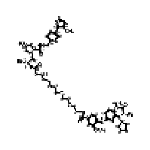 CC[C@@H]1C(=O)N(C)c2cnc(Nc3ccc(C(=O)NCCOCCOCCOCCNCC(=O)N[C@H](C(=O)N4C[C@H](O)C[C@H]4C(=O)NCc4ccc(-c5scnc5C)cc4)C(C)(C)C)cc3OC)nc2N1C1CCCC1